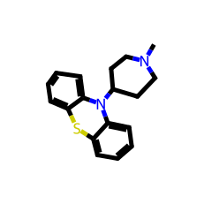 CN1CCC(N2c3ccccc3Sc3ccccc32)CC1